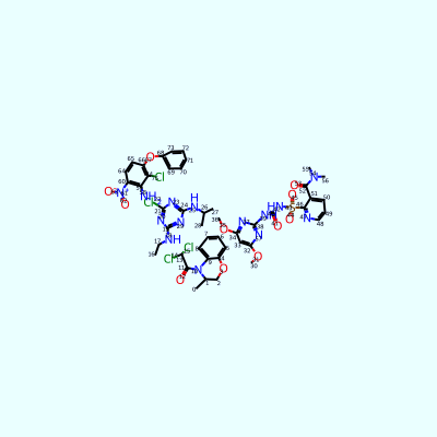 CC1COc2ccccc2N1C(=O)C(Cl)Cl.CCNc1nc(Cl)nc(NC(C)C)n1.COc1cc(OC)nc(NC(=O)NS(=O)(=O)c2ncccc2C(=O)N(C)C)n1.Nc1c([N+](=O)[O-])ccc(Oc2ccccc2)c1Cl